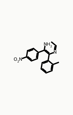 C/C=N\C(=C(/N)c1ccc([N+](=O)[O-])cc1)c1ccccc1C